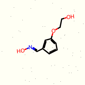 OCCOc1cccc(C=NO)c1